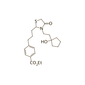 CCOC(=O)c1ccc(CCCC2SCC(=O)N2CCC2(O)CCCC2)cc1